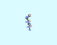 Cc1nn(C2CCOCC2)c2sc(C(=O)Nc3ccc(C(=O)NCCN(C)C)nc3)cc12